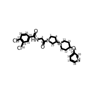 O=C(NCC(=O)N1CCC(N2CCC(Oc3cccnc3)CC2)C1)c1ccc(Cl)c(Cl)c1